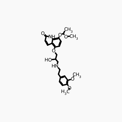 COc1ccc(CCNCC(O)COc2ccc(OC(C)OC)c3[nH]c(=O)ccc23)cc1OC